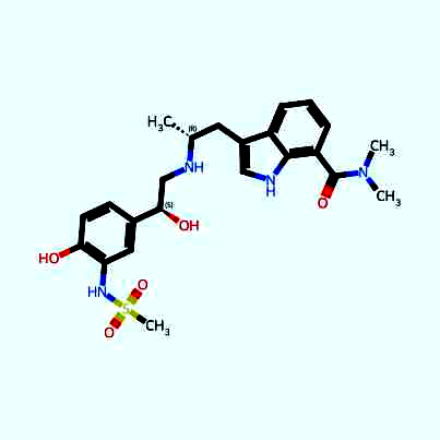 C[C@H](Cc1c[nH]c2c(C(=O)N(C)C)cccc12)NC[C@@H](O)c1ccc(O)c(NS(C)(=O)=O)c1